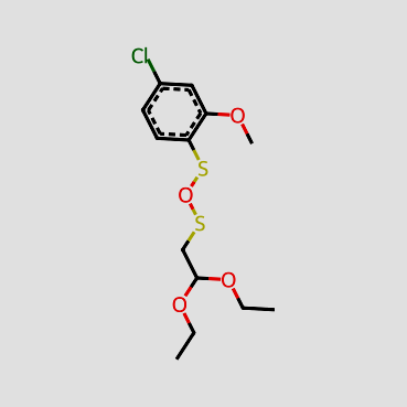 CCOC(CSOSc1ccc(Cl)cc1OC)OCC